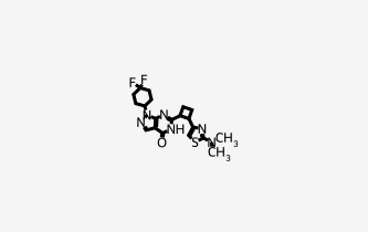 CN(C)c1nc(C2CCC2c2nc3c(cnn3C3CCC(F)(F)CC3)c(=O)[nH]2)cs1